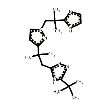 CC(C)(C)c1nnc(CC(C)(C)c2ccn(CC(C)(C)c3ncc[nH]3)n2)[nH]1